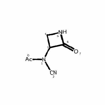 CC(=O)N(C#N)C1CNC1=O